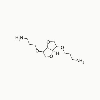 NCCCO[C@H]1COC2[C@H](OCCCN)CO[C@@H]21